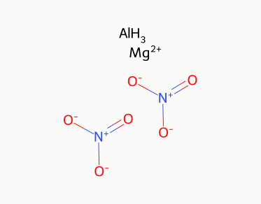 O=[N+]([O-])[O-].O=[N+]([O-])[O-].[AlH3].[Mg+2]